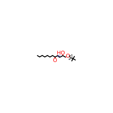 CCCCCCCC(=O)/C=C/C(O)CO[Si](C)(C)C(C)(C)C